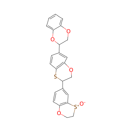 [O-][S+]1CCOc2ccc(C3COc4cc(C5COc6ccccc6O5)ccc4S3)cc21